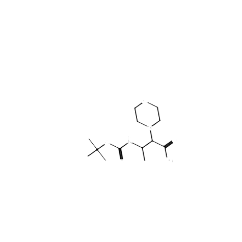 CC(NC(=O)OC(C)(C)C)C(C(=O)O)N1CCOCC1